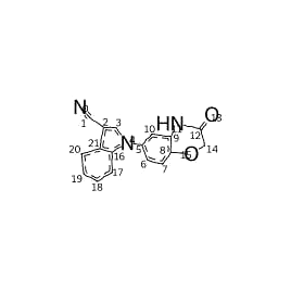 N#Cc1cn(-c2ccc3c(c2)NC(=O)CO3)c2ccccc12